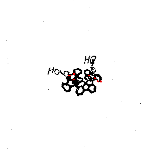 OCCOc1cc2ccc(C3(c4ccc5cc(OCCO)c6ccccc6c5c4)c4c(cccc4-c4cc5ccccc5c5ccccc45)-c4cccc(-c5cc6ccccc6c6ccccc56)c43)cc2c2ccccc12